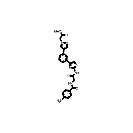 COC(=O)Cn1cc(-c2cccc(-c3csc(NC(=O)CNC(=O)c4ccc(N)cc4)n3)c2)cn1